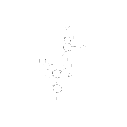 COc1cc(C(=O)NCC(O)(c2cc3c(c(-c4ccc(F)cc4F)n2)OC[C@]3(C)C(N)=O)C2CC2)cc2cn(C3CC3)nc12